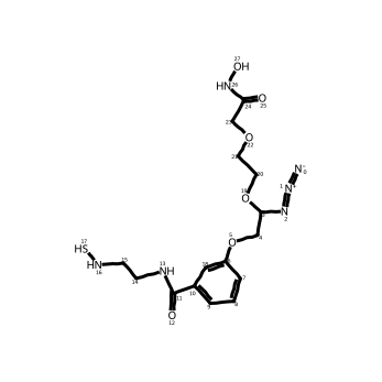 [N-]=[N+]=NC(COc1cccc(C(=O)NCCNS)c1)OCCOCC(=O)NO